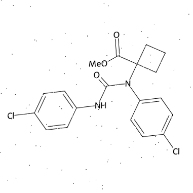 COC(=O)C1(N(C(=O)Nc2ccc(Cl)cc2)c2ccc(Cl)cc2)CCC1